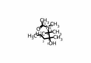 CCCC(C)(O)C(C)(C)N(C)C(C)=O